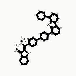 C=N/C(=C1/Sc2ccccc2/C1=N/C)c1ccc(-c2ccc(-c3cccc4c3sc3c(-c5ccccc5)cccc34)cc2)cc1